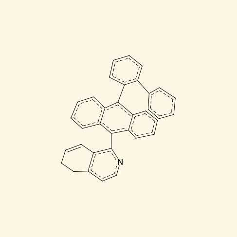 C1=Cc2c(ccnc2-c2c3ccccc3c(-c3ccccc3-c3ccccc3)c3ccccc23)CC1